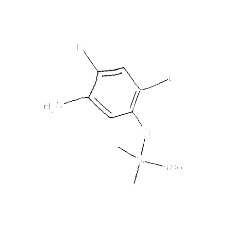 CC(C)(C)[Si](C)(C)Oc1cc(N)c(F)cc1I